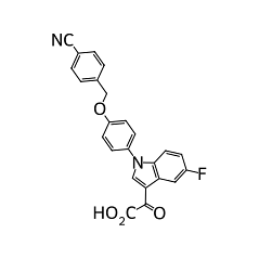 N#Cc1ccc(COc2ccc(-n3cc(C(=O)C(=O)O)c4cc(F)ccc43)cc2)cc1